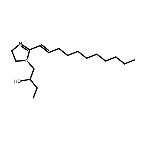 CCCCCCCCCC=CC1=NCCN1CC(O)CC